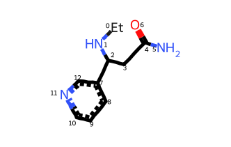 CCNC(CC(N)=O)c1cccnc1